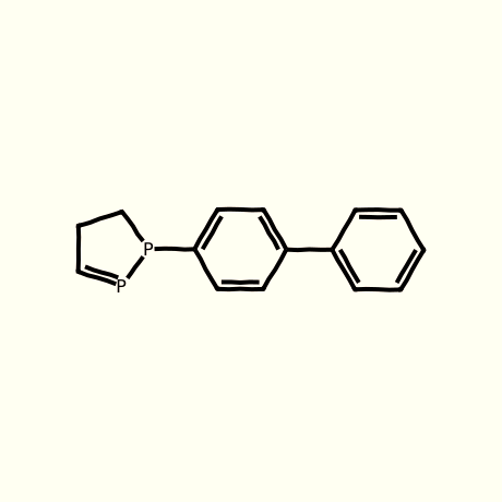 C1=PP(c2ccc(-c3ccccc3)cc2)CC1